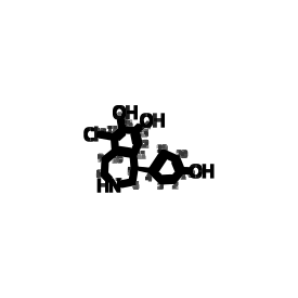 Oc1ccc([C@H]2CNCCc3c2cc(O)c(O)c3Cl)cc1